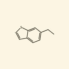 CCc1ccc2c[c]sc2c1